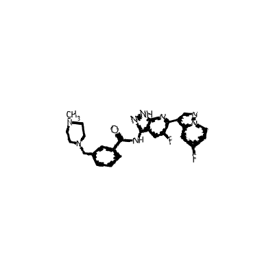 CN1CCN(Cc2cccc(C(=O)Nc3n[nH]c4nc(-c5cnn6ccc(F)cc56)c(F)cc34)c2)CC1